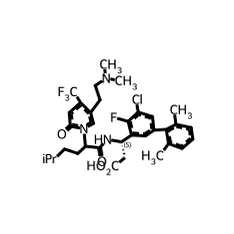 Cc1cccc(C)c1-c1cc(Cl)c(F)c([C@H](CC(=O)O)NC(=O)C(CCC(C)C)n2cc(CCN(C)C)c(C(F)(F)F)cc2=O)c1